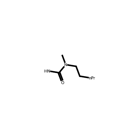 CCCCCN(C)C([NH])=O